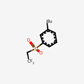 CCC(C)c1cccc(S(=O)(=O)CC(F)(F)F)c1